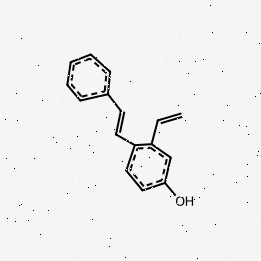 C=Cc1cc(O)ccc1C=Cc1ccccc1